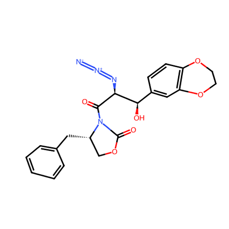 [N-]=[N+]=N[C@H](C(=O)N1C(=O)OC[C@@H]1Cc1ccccc1)[C@H](O)c1ccc2c(c1)OCCO2